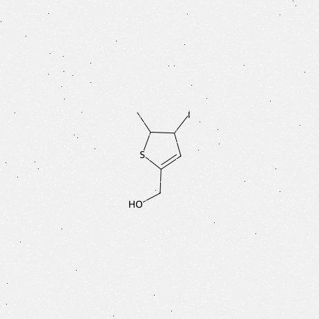 CC1SC(CO)=CC1I